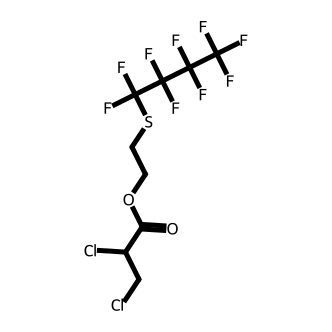 O=C(OCCSC(F)(F)C(F)(F)C(F)(F)C(F)(F)F)C(Cl)CCl